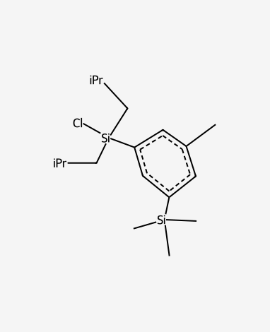 Cc1cc([Si](C)(C)C)cc([Si](Cl)(CC(C)C)CC(C)C)c1